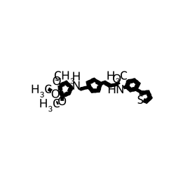 COc1cc(NCc2ccc(/C=C/C(=O)Nc3cc(-c4cccs4)ccc3C)cc2)cc(OC)c1OC